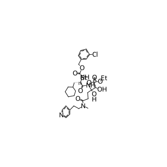 CCOP(=O)(OCC)C(O)C(O)(CCC(=O)N(C)CCc1ccncc1)NC(=O)[C@H](CC1CCCCC1)NC(=O)OCc1cccc(Cl)c1